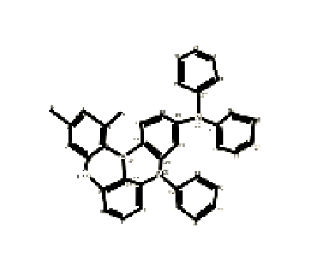 Cc1cc(C)c2c(c1)Oc1cccc3c1B2c1ccc(N(c2ccccc2)c2ccccc2)cc1N3c1ccccc1